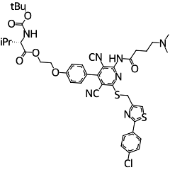 [C-]#[N+]c1c(NC(=O)CCCN(C)C)nc(SCc2csc(-c3ccc(Cl)cc3)n2)c(C#N)c1-c1ccc(OCCOC(=O)[C@@H](NC(=O)OC(C)(C)C)C(C)C)cc1